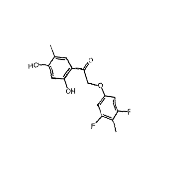 Cc1cc(C(=O)COc2cc(F)c(C)c(F)c2)c(O)cc1O